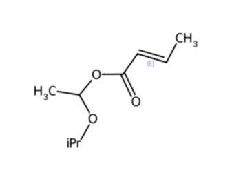 C/C=C/C(=O)OC(C)OC(C)C